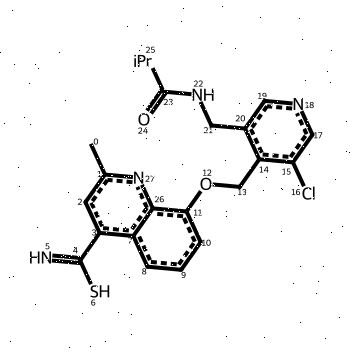 Cc1cc(C(=N)S)c2cccc(OCc3c(Cl)cncc3CNC(=O)C(C)C)c2n1